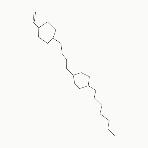 C=CC1CCC(CCCCC2CCC(CCCCCCC)CC2)CC1